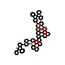 CC1C=C(N(c2cc(-c3cccc4ccc(-c5cccc6c(-c7ccc(-c8ccccc8)c(N(c8ccc(-c9cccc%10c9-c9ccccc9C%10(C)c9ccccc9)cc8)c8ccccc8-c8cccc9cccc(-c%10ccccc%10)c89)c7)cccc56)cc34)ccc2-c2ccccc2)c2ccccc2-c2cccc3cccc(-c4ccccc4)c23)C=CC1c1ccc2c(c1)C(c1ccccc1)(c1ccccc1)c1ccccc1-2